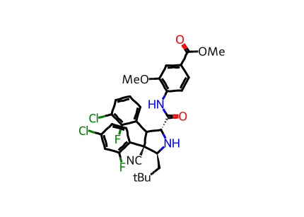 COC(=O)c1ccc(NC(=O)[C@@H]2N[C@@H](CC(C)(C)C)[C@](C#N)(c3ccc(Cl)cc3F)C2c2cccc(Cl)c2F)c(OC)c1